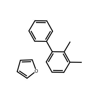 Cc1cccc(-c2ccccc2)c1C.c1ccoc1